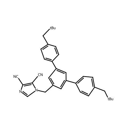 CC(C)(C)Cc1ccc(-c2cc(Cn3cnc(C#N)c3C#N)cc(-c3ccc(CC(C)(C)C)cc3)c2)cc1